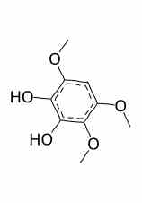 COc1cc(OC)c(OC)c(O)c1O